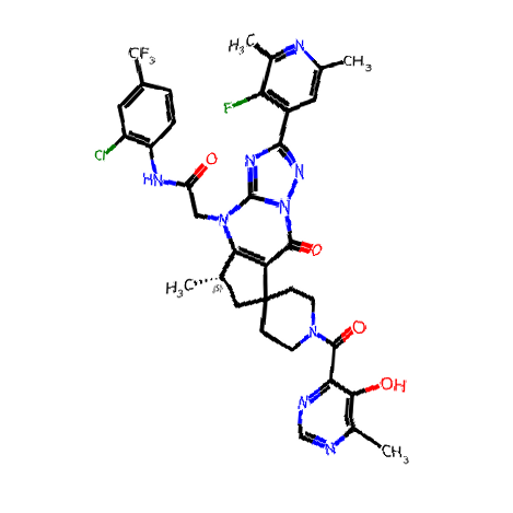 Cc1cc(-c2nc3n(CC(=O)Nc4ccc(C(F)(F)F)cc4Cl)c4c(c(=O)n3n2)C2(CCN(C(=O)c3ncnc(C)c3O)CC2)C[C@@H]4C)c(F)c(C)n1